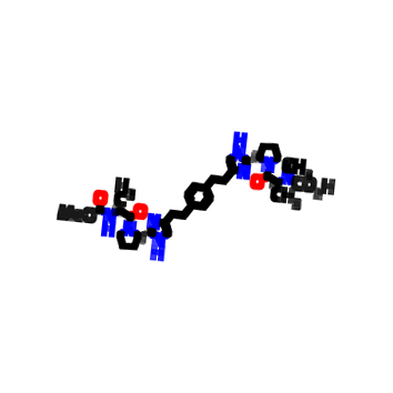 COC(=O)N[C@@H](C)C(=O)N1CCC[C@H]1c1nc(C=Cc2ccc(C=Cc3c[nH]c([C@@H]4CCCN4C(=O)[C@H](C)N(C)C(=O)O)n3)cc2)c[nH]1